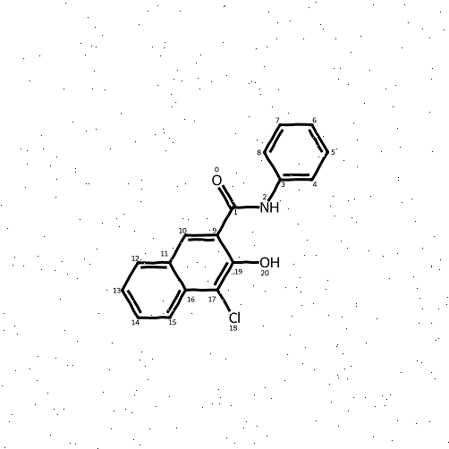 O=C(Nc1ccccc1)c1cc2ccccc2c(Cl)c1O